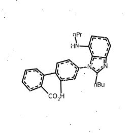 CCCCc1nc2cccc(NCCC)c2n1-c1ccc(-c2ccccc2C(=O)O)c(C)c1